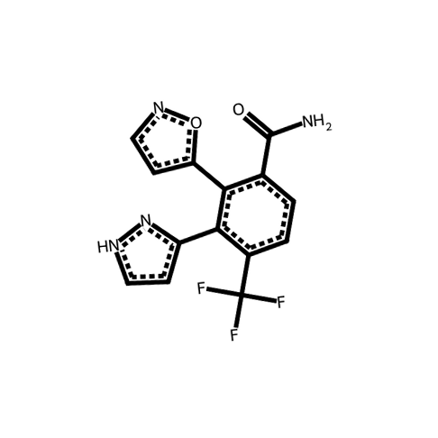 NC(=O)c1ccc(C(F)(F)F)c(-c2cc[nH]n2)c1-c1ccno1